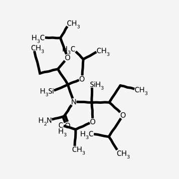 CCC(OC(C)C)C([SiH3])(OC(C)C)N(C(N)=O)C([SiH3])(OC(C)C)C(CC)OC(C)C